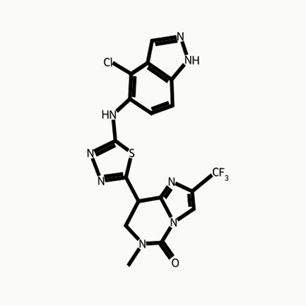 CN1CC(c2nnc(Nc3ccc4[nH]ncc4c3Cl)s2)c2nc(C(F)(F)F)cn2C1=O